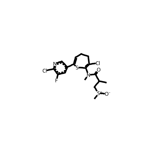 CC(C[S+](C)[O-])C(=O)N(C)C1=C(Cl)CCC=C(c2cnc(Cl)c(F)c2)S1